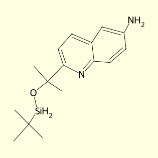 CC(C)(C)[SiH2]OC(C)(C)c1ccc2cc(N)ccc2n1